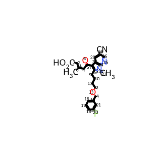 C[C@@H](CC(=O)O)CC(=O)c1c(CCCCOCc2cccc(F)c2)n(C)c2ncc(C#N)cc12